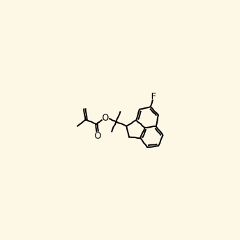 C=C(C)C(=O)OC(C)(C)C1Cc2cccc3cc(F)cc1c23